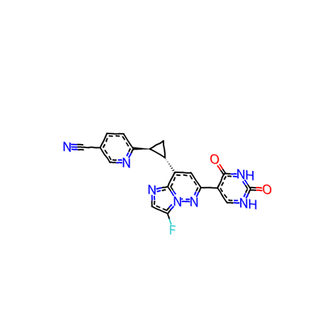 N#Cc1ccc([C@H]2C[C@@H]2c2cc(-c3c[nH]c(=O)[nH]c3=O)nn3c(F)cnc23)nc1